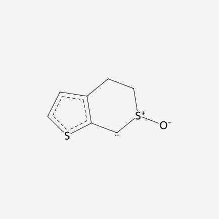 [O-][S+]1[C]c2sccc2CC1